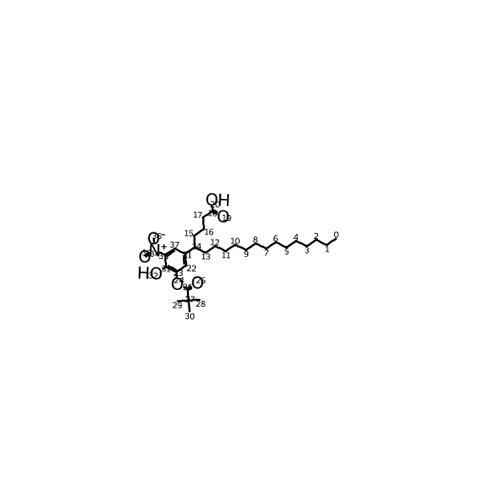 CCCCCCCCCCCCCCC(CCCC(=O)O)c1cc(OC(=O)C(C)(C)C)c(O)c([N+](=O)[O-])c1